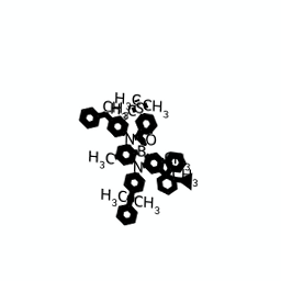 Cc1cc2c3c(c1)N(c1ccc(C(C)c4ccccc4)cc1)c1c(oc4ccc(S(C)(C)C)cc14)B3c1cc(C)c(C3(c4ccccc4)CCCCC3(C)C3CC3)cc1N2c1ccc(C(C)(C)c2ccccc2)cc1